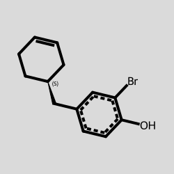 Oc1ccc(C[C@@H]2CC=CCC2)cc1Br